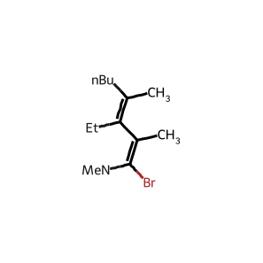 CCCC/C(C)=C(CC)/C(C)=C(/Br)NC